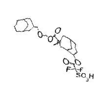 C[C@@]1(C(=O)OCOCC2CC3CCCC(C3)C2)CC2CCC(OC(=O)C(F)(F)S(=O)(=O)O)C(C2)C1